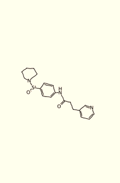 O=C(CCc1cccnc1)Nc1ccc([S+]([O-])N2CCCCC2)cc1